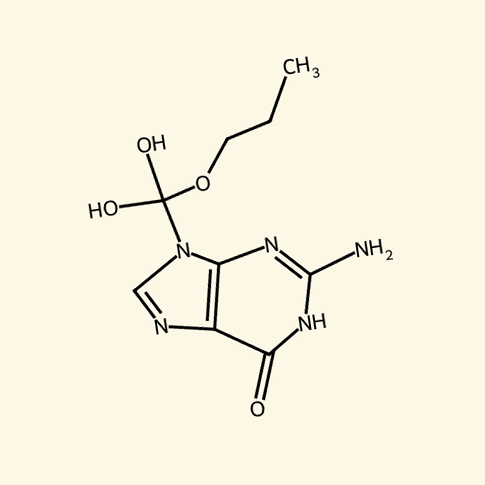 CCCOC(O)(O)n1cnc2c(=O)[nH]c(N)nc21